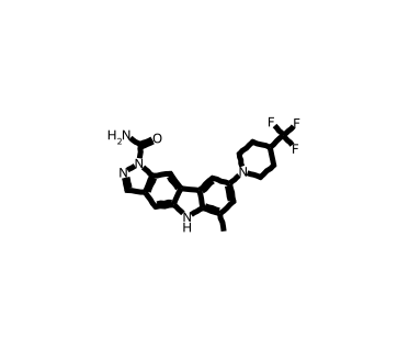 Cc1cc(N2CCC(C(F)(F)F)CC2)cc2c1[nH]c1cc3cnn(C(N)=O)c3cc12